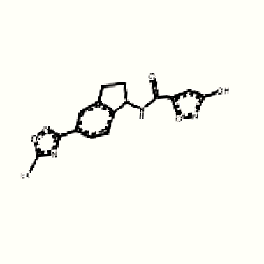 CCc1nc(-c2ccc3c(c2)CCC3NC(=O)c2cc(O)no2)no1